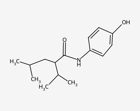 CC(C)CC(C(=O)Nc1ccc(O)cc1)C(C)C